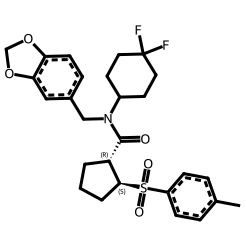 Cc1ccc(S(=O)(=O)[C@H]2CCC[C@@H]2C(=O)N(Cc2ccc3c(c2)OCO3)C2CCC(F)(F)CC2)cc1